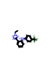 [CH2]Cn1nnc(-c2ccccc2Nc2ccc(C(F)(F)F)cc2)n1